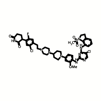 COc1cc(N2CCC(N3CCN(CCc4cc(F)c(C5CCC(=O)NC5=O)cc4Cl)CC3)CC2)ccc1Nc1ncc(Cl)c(Nc2cccc3c2N(S(C)(=O)=O)CC3)n1